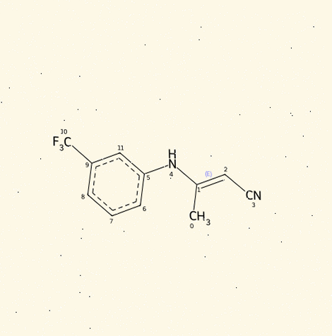 C/C(=C\C#N)Nc1cccc(C(F)(F)F)c1